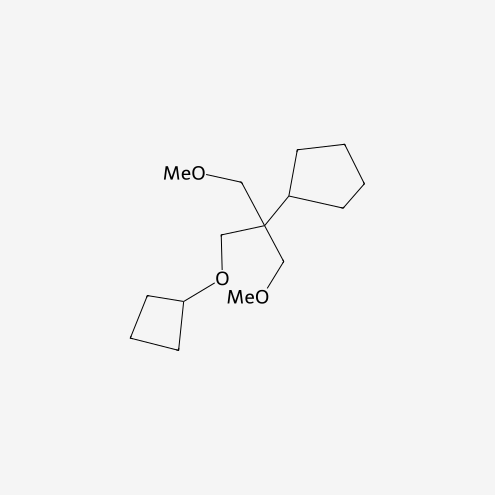 COCC(COC)(COC1CCC1)C1CCCC1